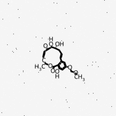 COCOc1cc(O)c2c(c1)/C=C/C[C@@H](O)[C@@H](O)C(=O)/C=C\C[C@H](C)OC2=O